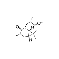 C=C=C[C@@H](C)C[C@@H]1C(=O)[C@H](C)C[C@@H]2[C@H]1C2(C)C